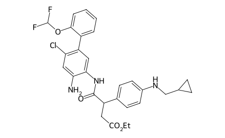 CCOC(=O)CC(C(=O)Nc1cc(-c2ccccc2OC(F)F)c(Cl)cc1N)c1ccc(NCC2CC2)cc1